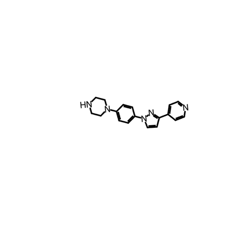 c1cc(-c2ccn(-c3ccc(N4CCNCC4)cc3)n2)ccn1